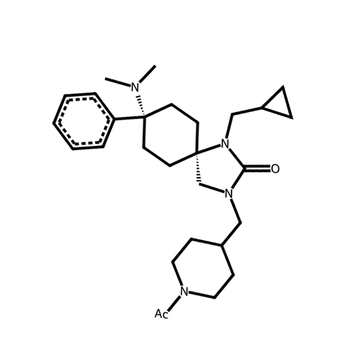 CC(=O)N1CCC(CN2C[C@]3(CC[C@@](c4ccccc4)(N(C)C)CC3)N(CC3CC3)C2=O)CC1